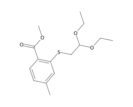 CCOC(CSc1cc(C)ccc1C(=O)OC)OCC